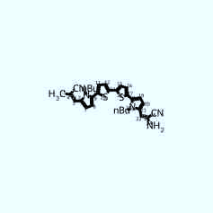 CCCCn1c(/C=C(/C)C#N)ccc1-c1ccc(-c2ccc(-c3ccc(/C=C(/N)C#N)n3CCCC)s2)s1